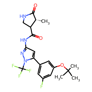 C[C@H]1C(=O)NCC1C(=O)Nc1cc(-c2cc(F)cc(OC(C)(C)C)c2)n(C(F)(F)F)n1